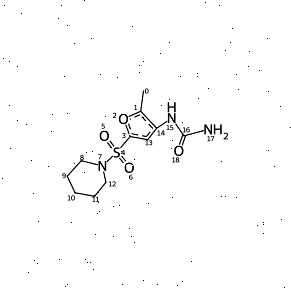 Cc1oc(S(=O)(=O)N2CCCCC2)cc1NC(N)=O